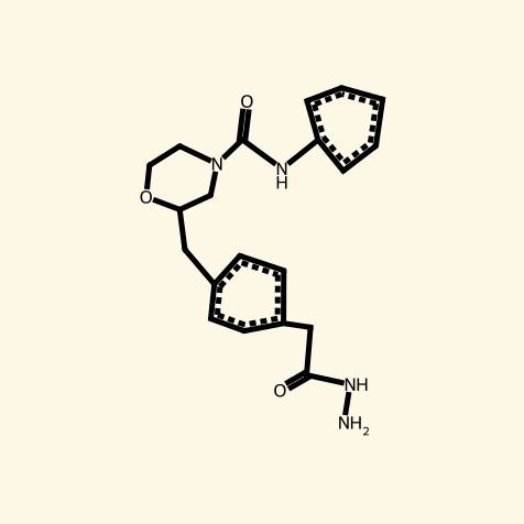 NNC(=O)Cc1ccc(CC2CN(C(=O)Nc3ccccc3)CCO2)cc1